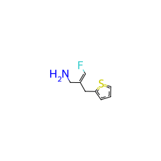 NCC(=CF)Cc1cccs1